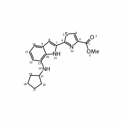 COC(=O)c1csc(-c2cc3cccc(NC4CCCC4)c3[nH]2)n1